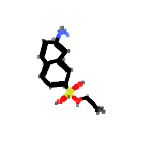 CCOS(=O)(=O)c1ccc2ccc(N)cc2c1